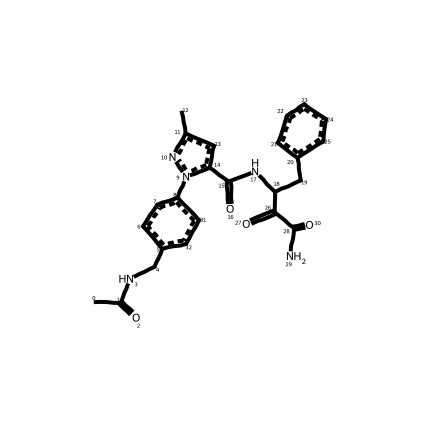 CC(=O)NCc1ccc(-n2nc(C)cc2C(=O)NC(Cc2ccccc2)C(=O)C(N)=O)cc1